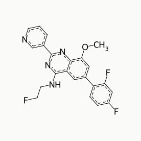 COc1cc(-c2ccc(F)cc2F)cc2c(NCCF)nc(-c3cccnc3)nc12